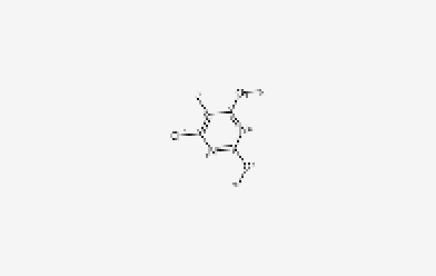 COc1nc(Cl)c(C)c(OC)n1